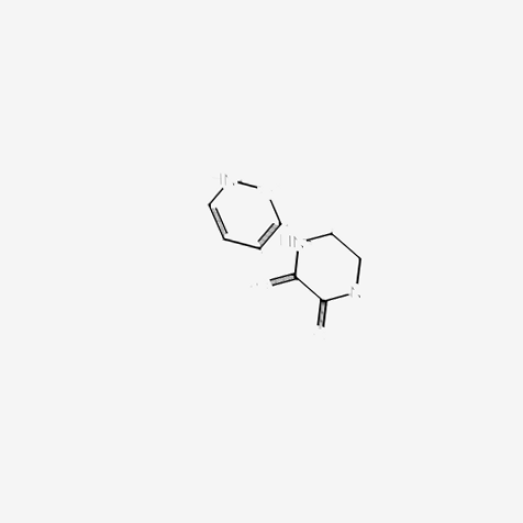 C1=CNOC=C1.O=C1NCCNC1=O